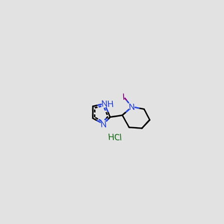 Cl.IN1CCCCC1c1ncc[nH]1